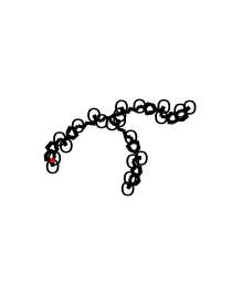 O=C(CCCOc1ccc(C(=O)Oc2ccc3ccc(=O)oc3c2)cc1)OCC(COC(=O)CCCOc1ccc(C(=O)Oc2ccc3ccc(=O)oc3c2)cc1)OC(=O)CCCOc1ccc(C(=O)Oc2ccc3ccc(=O)oc3c2)cc1